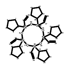 C=C[Si]1(C2CCCC2)O[Si](C=C)(C2CCCC2)O[Si](C=C)(C2CCCC2)O[Si](C=C)(C2CCCC2)O[Si](C=C)(C2CCCC2)O1